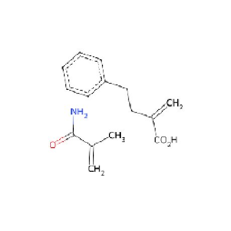 C=C(C)C(N)=O.C=C(CCc1ccccc1)C(=O)O